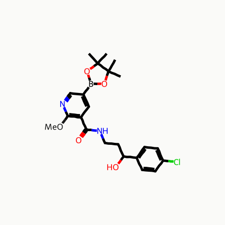 COc1ncc(B2OC(C)(C)C(C)(C)O2)cc1C(=O)NCCC(O)c1ccc(Cl)cc1